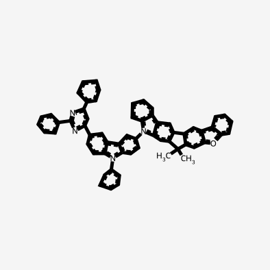 CC1(C)c2cc3oc4ccccc4c3cc2-c2cc3c4ccccc4n(-c4ccc5c(c4)c4cc(-c6cc(-c7ccccc7)nc(-c7ccccc7)n6)ccc4n5-c4ccccc4)c3cc21